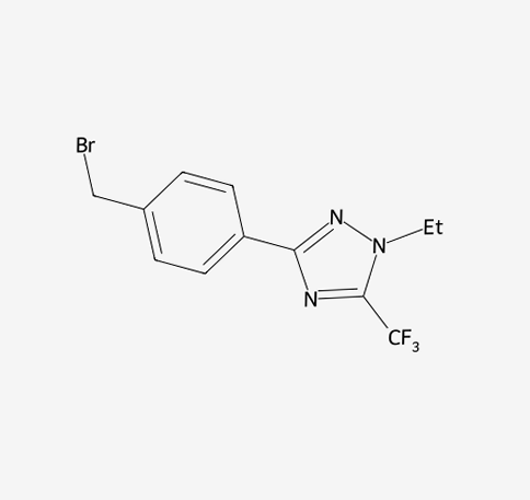 CCn1nc(-c2ccc(CBr)cc2)nc1C(F)(F)F